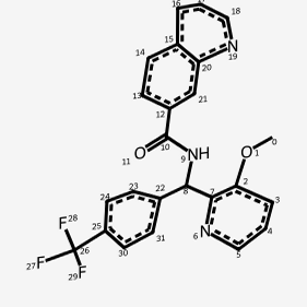 COc1cccnc1C(NC(=O)c1ccc2cccnc2c1)c1ccc(C(F)(F)F)cc1